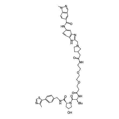 Cc1ncsc1-c1ccc(CNC(=O)[C@@H]2C[C@@H](O)CN2C(=O)[C@@H](NC(=O)CCOCCOCCNC(=O)CC2CCN(Cc3nc4cc(NC(=O)c5ccc6c(cnn6C)c5)ccc4[nH]3)C2)C(C)(C)C)cc1